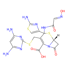 Nc1cc(N)nc(SCC2=C(C(=O)O)N3C(=O)C[C@H]3SC2(NC(=O)/C=N/O)c2csc(N)n2)n1